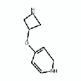 C1=CC(OC2CNC2)=CCN1